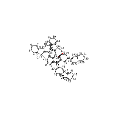 CC1(C)c2ccccc2-c2cccc(-c3cccc(N(c4cccc(-c5ccc6ccccc6c5)c4)c4ccc5sc6ccccc6c5c4)c3-c3cccc4c3sc3ccccc34)c21